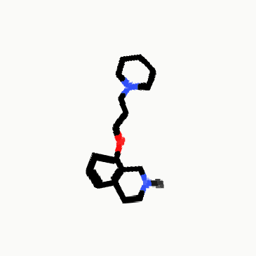 CCN1CCc2cccc(OCCCN3CCCCC3)c2C1